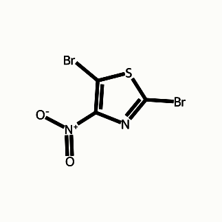 O=[N+]([O-])c1nc(Br)sc1Br